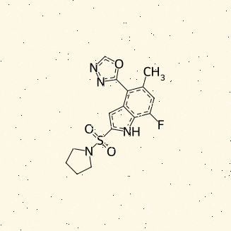 Cc1cc(F)c2[nH]c(S(=O)(=O)N3CCCC3)cc2c1-c1nnco1